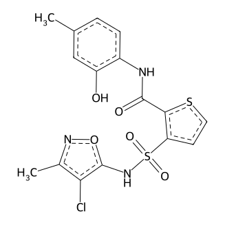 Cc1ccc(NC(=O)c2sccc2S(=O)(=O)Nc2onc(C)c2Cl)c(O)c1